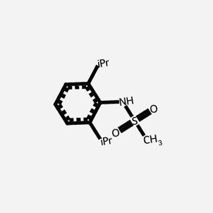 CC(C)c1cccc(C(C)C)c1NS(C)(=O)=O